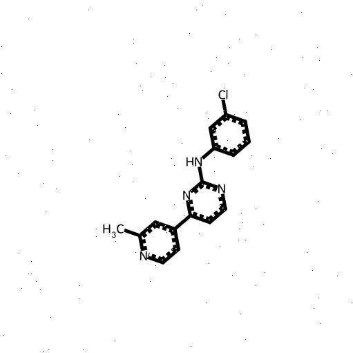 Cc1cc(-c2ccnc(Nc3cccc(Cl)c3)n2)ccn1